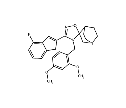 COc1ccc(CN2C(C3=Cc4c(F)cccc4C3)=NOC23CN2CCC3CC2)c(OC)c1